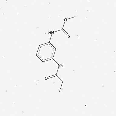 CCC(=O)Nc1cccc(NC(=S)OC)c1